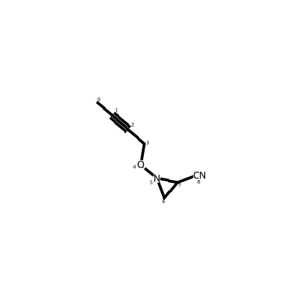 CC#CCON1CC1C#N